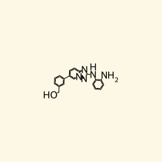 Nc1ccccc1Nc1nc2ccc(-c3cccc(CO)c3)cn2n1